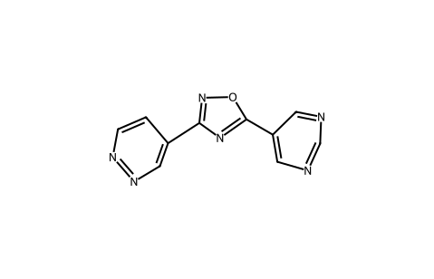 c1ncc(-c2nc(-c3ccnnc3)no2)cn1